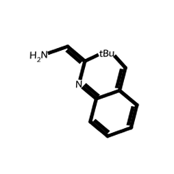 C/C=C1/C=CC=C/C1=N/C(=C\N)C(C)(C)C